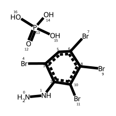 NNc1c(Br)cc(Br)c(Br)c1Br.O=P(O)(O)O